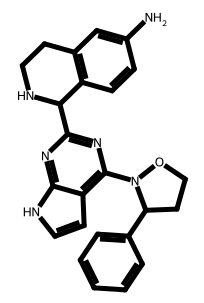 Nc1ccc2c(c1)CCNC2c1nc(N2OCCC2c2ccccc2)c2cc[nH]c2n1